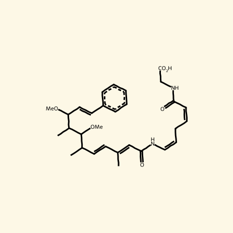 COC(/C=C/c1ccccc1)C(C)C(OC)C(C)/C=C/C(C)=C/C(=O)N/C=C\C/C=C\C(=O)NCC(=O)O